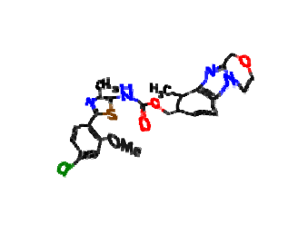 COc1cc(Cl)ccc1-c1nc(C)c(NC(=O)OCC2C=Cc3c(nc4n3CCOC4)C2C)s1